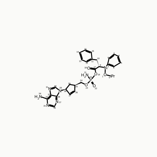 CC(C)ON(c1ccccc1)[C@@H](Cc1ccccc1)C(=O)OP(N)(=O)OC[C@H]1C=C[C@@H](n2cnc3c(N)ncnc32)C1